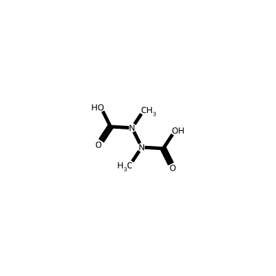 CN(C(=O)O)N(C)C(=O)O